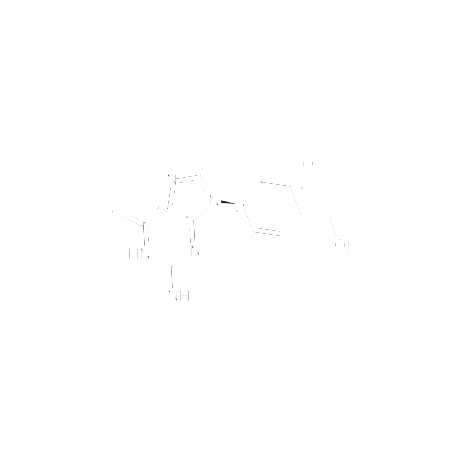 Nc1nc2c(ncn2[C@@H]2C=C[C@@H](CO)C(O)C2)c(=O)[nH]1